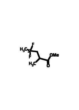 COC(=O)C(C)C[Si](C)(F)F